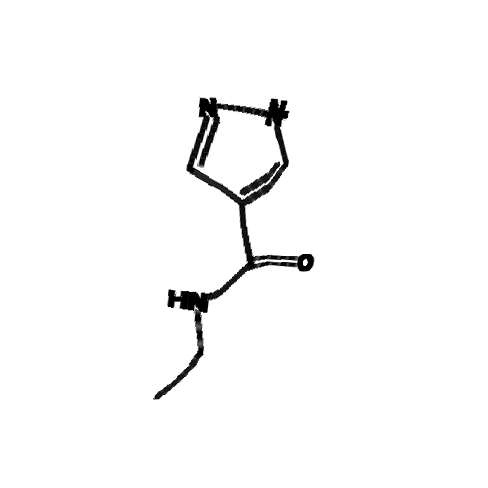 CCNC(=O)C1=C[N]N=C1